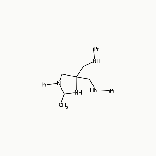 CC(C)NCC1(CNC(C)C)CN(C(C)C)C(C)N1